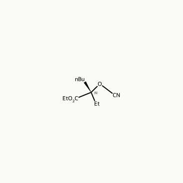 CCCC[C@](CC)(OC#N)C(=O)OCC